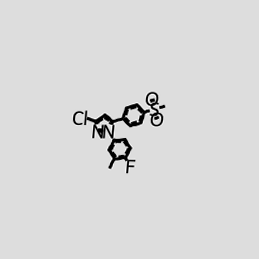 Cc1cc(-n2nc(Cl)cc2-c2ccc(S(C)(=O)=O)cc2)ccc1F